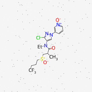 CCN(C(=O)C(C)C[S+]([O-])CCCC(F)(F)F)c1cn(-c2ccc[n+]([O-])c2)nc1Cl